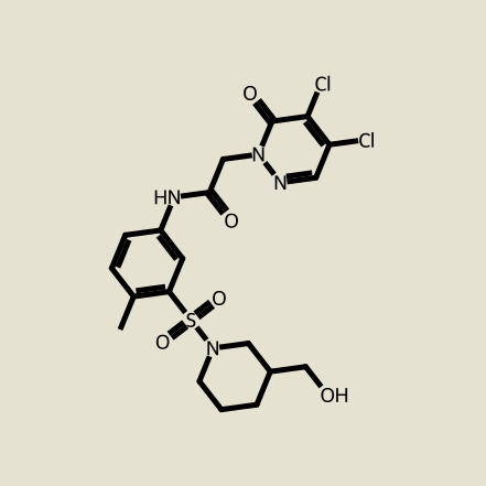 Cc1ccc(NC(=O)Cn2ncc(Cl)c(Cl)c2=O)cc1S(=O)(=O)N1CCCC(CO)C1